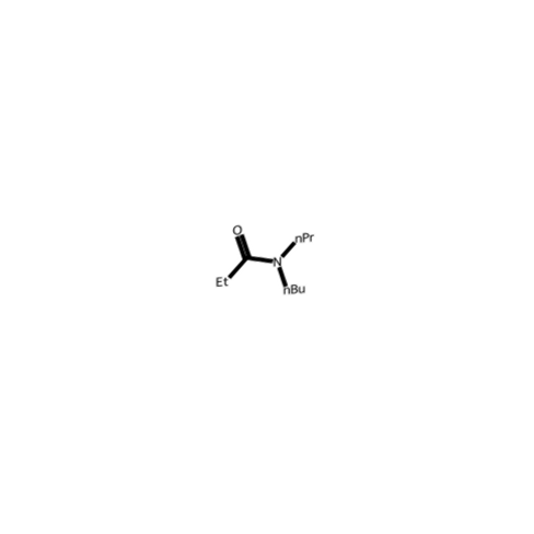 [CH2]CC(=O)N(CCC)CCCC